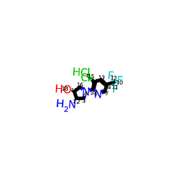 Cl.N[C@H]1CN(c2ncc(C(F)(F)F)cc2Cl)C[C@@H]1O